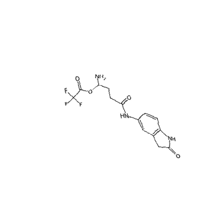 NC(CCC(=O)Nc1ccc2c(c1)CC(=O)N2)OC(=O)C(F)(F)F